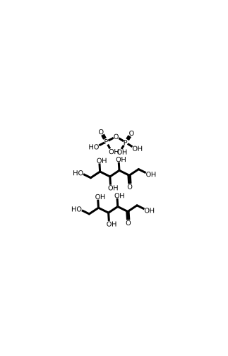 O=C(CO)C(O)C(O)C(O)CO.O=C(CO)C(O)C(O)C(O)CO.O=P(O)(O)OP(=O)(O)O